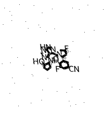 N#Cc1cc(F)cc([C@H]2C[C@H](F)CN2C(=O)c2n[nH]c3ncnc(N[C@@H]4CCC[C@H]4O)c23)c1